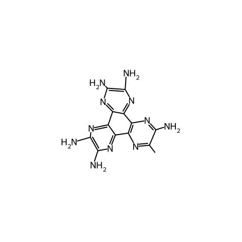 Cc1nc2c(nc1N)c1nc(N)c(N)nc1c1nc(N)c(N)nc21